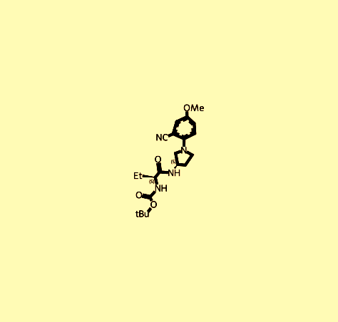 CC[C@H](NC(=O)OC(C)(C)C)C(=O)N[C@H]1CCN(c2ccc(OC)cc2C#N)C1